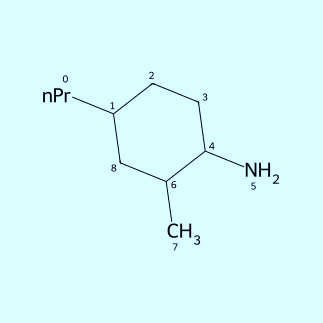 CCCC1CCC(N)C(C)C1